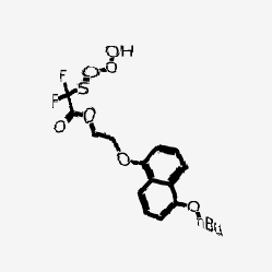 CCCCOc1cccc2c(OCCOC(=O)C(F)(F)SOOO)cccc12